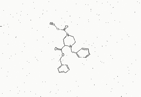 CC(C)(C)OC(=O)N1CCN(Cc2ccccc2)C(C(=O)OCc2ccccc2)C1